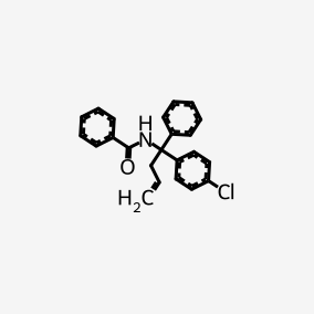 C=CCC(NC(=O)c1ccccc1)(c1ccccc1)c1ccc(Cl)cc1